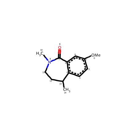 COc1ccc2c(c1)C(=O)N(C)CCC2C